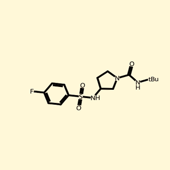 CC(C)(C)NC(=O)N1CCC(NS(=O)(=O)c2ccc(F)cc2)C1